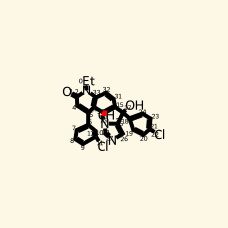 CCn1c(=O)cc(-c2cccc(Cl)c2)c2cc(C(O)(c3ccc(Cl)cc3)c3cncn3C)ccc21